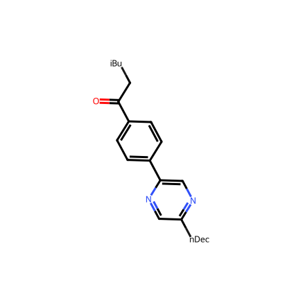 CCCCCCCCCCc1cnc(-c2ccc(C(=O)CC(C)CC)cc2)cn1